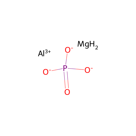 O=P([O-])([O-])[O-].[Al+3].[MgH2]